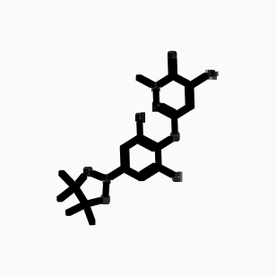 CC(C)c1cc(Oc2c(Cl)cc(B3OC(C)(C)C(C)(C)O3)cc2Cl)nn(C)c1=O